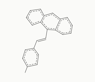 Cc1ccc(C=Cc2c3ccccc3cc3ccccc23)cc1